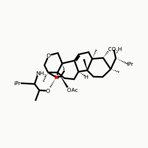 CC(=O)O[C@@H]1C[C@@]23COC[C@@](C)([C@@H]2CC[C@H]2C3=CC[C@@]3(C)[C@H](C(=O)O)[C@@](C)([C@H](C)C(C)C)CC[C@]23C)[C@H]1OC(C)C(N)C(C)C